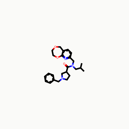 CC(C)CN(Cc1ccc2c(n1)OCCOC2)C(=O)C1CCN(Cc2ccccc2)C1